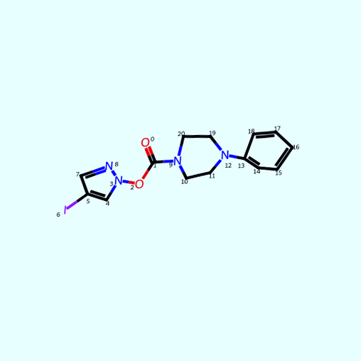 O=C(On1cc(I)cn1)N1CCN(c2ccccc2)CC1